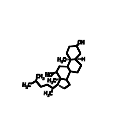 CC(C)CC[C@@H](C)[C@H]1CCC2C3CC[C@@H]4C[C@H](O)CC[C@]4(C)C3C[C@H](O)[C@@]21C